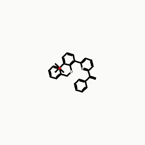 C=C(c1ccccc1)c1cccc(-c2cccc(C(C)(C)C)c2OCc2ccccc2)n1